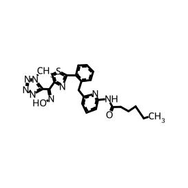 CCCCCC(=O)Nc1cccc(Cc2ccccc2-c2nc(C(=NO)c3nnnn3C)cs2)n1